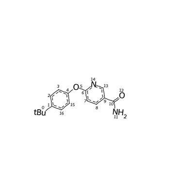 [CH2]C(C)(C)c1ccc(Oc2ccc(C(N)=O)cn2)cc1